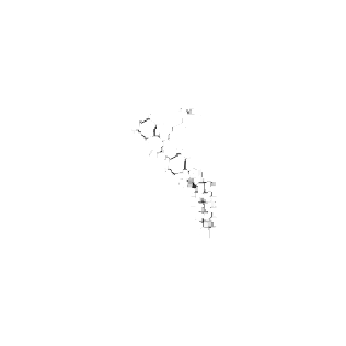 CCOCCOC(C(=O)c1ccc(OS(=O)(=O)C(F)(F)C(F)(F)C(F)(F)C(F)(F)C(F)(F)C(F)(F)F)cc1)c1ccccc1